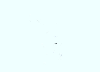 C[Si](C)(C)OCC[N+]1(CC2=C(C(=O)[O-])N3C(=O)[C@@H](N)[C@H]3SC2)CCCC1.I